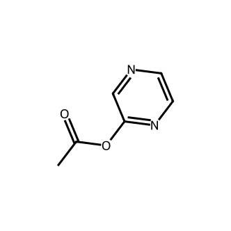 CC(=O)Oc1cnccn1